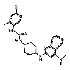 Cc1cc(Br)ccc1NC(=S)NC1CCC(Nc2cc(N(C)C)c3ccccc3n2)CC1